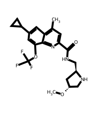 CO[C@H]1CN[C@H](CNC(=O)c2cc(C)c3cc(C4CC4)cc(OC(F)(F)F)c3n2)C1